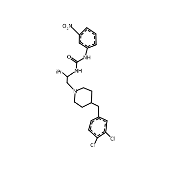 CC(C)C(CN1CCC(Cc2ccc(Cl)c(Cl)c2)CC1)NC(=O)Nc1cccc([N+](=O)[O-])c1